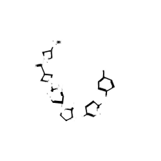 Cc1ccc(Oc2ccc(O[C@@H]3CCN(c4cnc(N5CC(C(=O)N6CC(N=O)C6)C5)nc4)C3=O)cn2)cc1